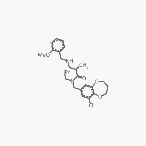 COc1ncccc1CNCC(C)C(=O)N(Cc1cc(Cl)c2c(c1)OCCCO2)CC(C)C